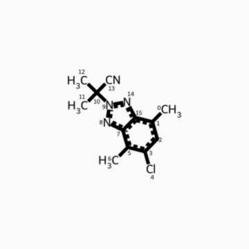 Cc1cc(Cl)c(C)c2nn(C(C)(C)C#N)nc12